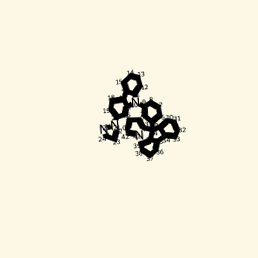 c1ccc(C2(c3cccc(-n4c5ccccc5c5ccc(-n6cccn6)cc54)c3)c3ccccc3-c3ccccc32)nc1